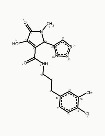 CN1C(=O)C(O)=C(C(=O)NCCCc2ccc(Cl)c(Cl)c2)C1c1csnn1